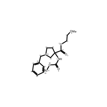 COCCOC(=O)C1(NC(=O)OC(C)(C)C)CCN(Cc2ccccc2)C1